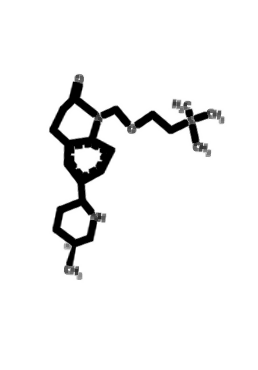 C[C@H]1CCC(c2ccc3c(c2)CCC(=O)N3COCC[Si](C)(C)C)NC1